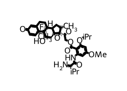 COc1cc(NC(=O)[C@@H](N)C(C)C)c(C(=O)OCC(=O)[C@]23O[C@@]24C[C@H](O)[C@@]2(F)[C@@H](CCC5=CC(=O)C=C[C@@]52C)C4C[C@H]3C)c(OC(C)C)c1